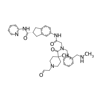 CNCc1ccccc1CN(CC(=O)Nc1ccc2c(c1)C[C@H](C(=O)Nc1ccccn1)C2)C(=O)C1(C)CCN(CC=O)CC1